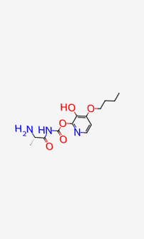 CCCCOc1ccnc(OC(=O)NC(=O)[C@H](C)N)c1O